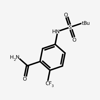 CC(C)(C)S(=O)(=O)Nc1ccc(C(F)(F)F)c(C(N)=O)c1